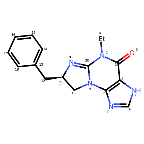 CCN1C(=O)c2[nH]cnc2N2C[C@@H](Cc3ccccc3)N=C12